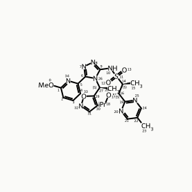 COc1cccc(-c2nnc(NS(=O)(=O)[C@@H](C)[C@@H](OC(C)C)c3ncc(C)cn3)n2[C@@H](C)c2ccno2)n1